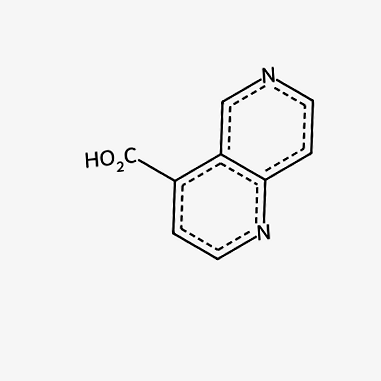 O=C(O)c1ccnc2ccncc12